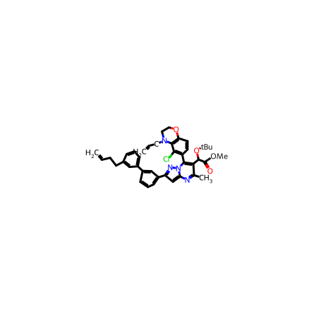 C=CCCc1cccc(-c2cccc(-c3cc4nc(C)c(C(OC(C)(C)C)C(=O)OC)c(-c5ccc6c(c5Cl)N(CC=C)CCO6)n4n3)c2)c1